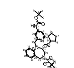 CC(C)(C)OC(=O)Nc1ccnc(CN2c3ccccc3CN(S(=O)(=O)C(F)(F)F)C[C@H]2COC2CCCC2)c1